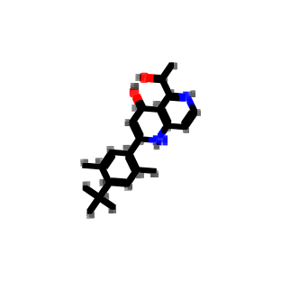 CC(=O)c1nccc2[nH]c(-c3cc(C)c(C(C)(C)C)cc3C)cc(=O)c12